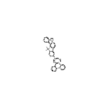 CC1(C)c2ccc(-c3cnc4c5ccccc5c5ccccc5c4n3)cc2-c2ccc3oc4ccccc4c3c21